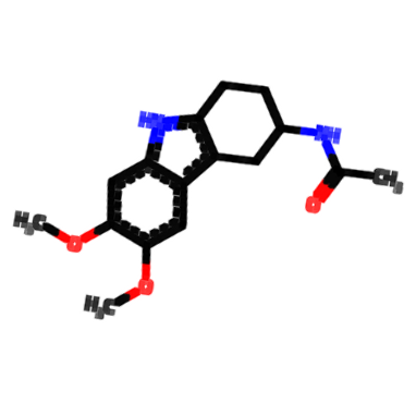 COc1cc2[nH]c3c(c2cc1OC)CC(NC(C)=O)CC3